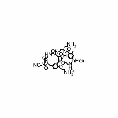 CCCCCCc1ccc(C(=O)N[C@@H](CCN)CC(=O)N(C)[C@@H]2C(=O)N[C@@H](C)C(=O)N[C@H](C(=O)NCC#N)Cc3ccc(OCCN)c(c3)-c3cc2ccc3OCCN)c(C)c1